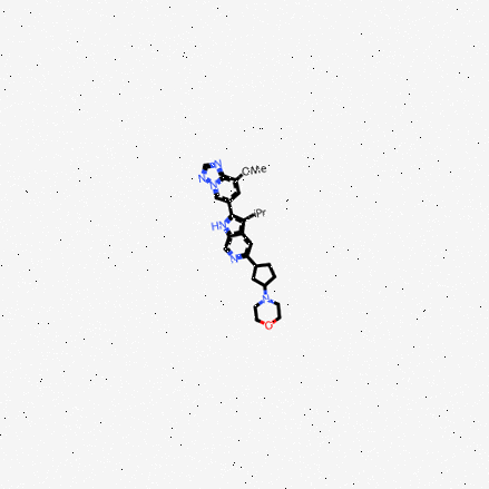 COc1cc(-c2[nH]c3cnc(C4CCC(N5CCOCC5)C4)cc3c2C(C)C)cn2ncnc12